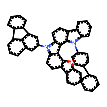 c1ccc(-c2ccc(-n3c4ccccc4c4ccc5c(c6c7oc8ccccc8c7ccc6n5-c5cc6c7c(cccc7c5)-c5ccccc5-6)c43)cc2)cc1